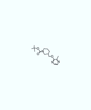 Cc1nccnc1OCC1CCCN(C(=O)OC(C)(C)C)C1